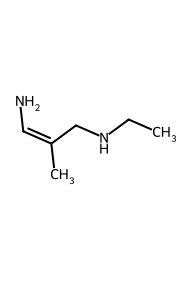 CCNC/C(C)=C\N